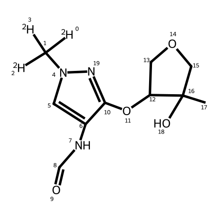 [2H]C([2H])([2H])n1cc(NC=O)c(OC2COCC2(C)O)n1